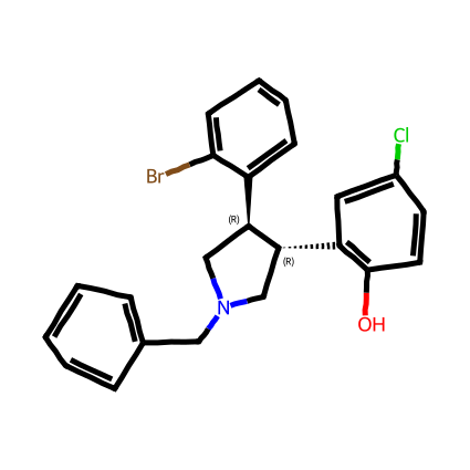 Oc1ccc(Cl)cc1[C@@H]1CN(Cc2ccccc2)C[C@H]1c1ccccc1Br